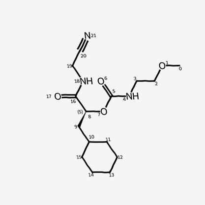 COCCNC(=O)O[C@@H](CC1CCCCC1)C(=O)NCC#N